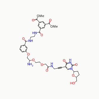 COC(=O)c1cc(C(=O)NCCNC(=O)c2cccc(OCC(N)OCCOCC(=O)NCC#Cc3cn(C4CCC(CO)O4)c(=O)[nH]c3=O)c2)cc(C(=O)OC)c1